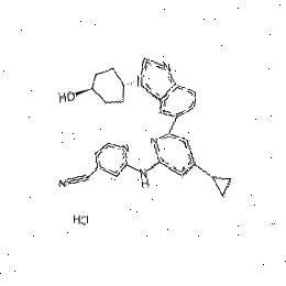 Cl.N#Cc1ccnc(Nc2cc(C3CC3)cc(-c3ccc4ncn([C@H]5CC[C@H](O)CC5)c4c3)n2)c1